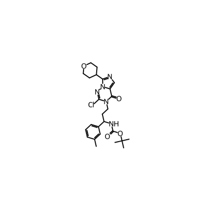 Cc1cccc(C(CCn2c(Cl)nn3c(C4CCOCC4)ncc3c2=O)NC(=O)OC(C)(C)C)c1